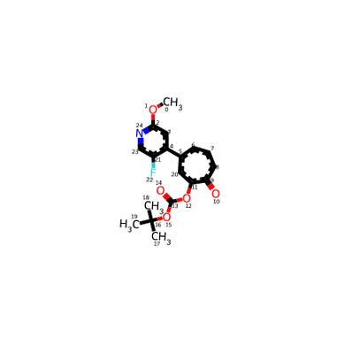 COc1cc(-c2cccc(=O)c(OC(=O)OC(C)(C)C)c2)c(F)cn1